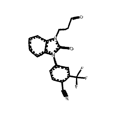 N#Cc1ccc(-n2c(=O)n(CCC=O)c3ccccc32)cc1C(F)(F)F